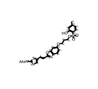 CNc1ncc(C=Cc2nc3ccc(OCCCOS(=O)(=O)c4ccc(C)cc4O)cc3o2)s1